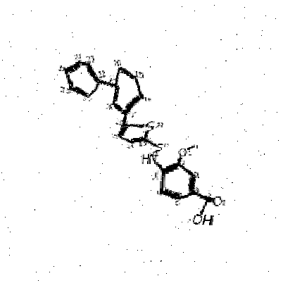 COc1cc(C(=O)O)ccc1NSc1ccc(-c2cccc(-c3ccccc3)c2)s1